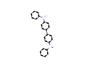 [SiH3]N(c1ccccc1)c1ccc(-c2ccc(N([SiH3])c3ccccc3)cc2)cc1